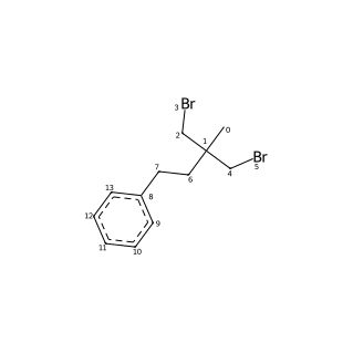 CC(CBr)(CBr)CCc1ccccc1